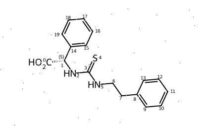 O=C(O)[C@@H](NC(=S)NCCc1ccccc1)c1ccccc1